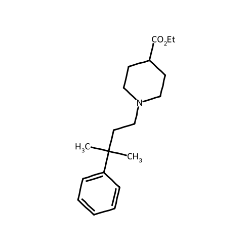 CCOC(=O)C1CCN(CCC(C)(C)c2ccccc2)CC1